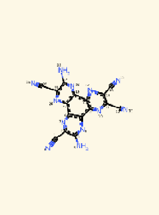 N#Cc1nc2c(nc1N)c1nc(C#N)c(C#N)nc1c1nc(N)c(C#N)nc12